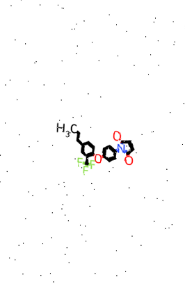 CCCc1ccc(Oc2ccc(N3C(=O)C=CC3=O)cc2)c(C(F)(F)F)c1